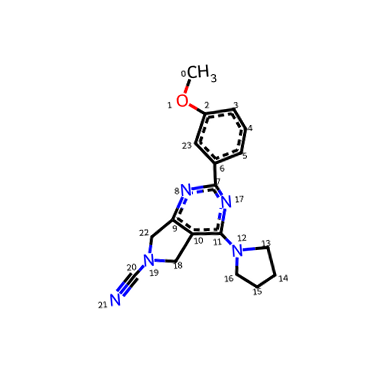 COc1cccc(-c2nc3c(c(N4CCCC4)n2)CN(C#N)C3)c1